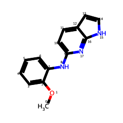 COc1ccccc1Nc1ccc2cc[nH]c2n1